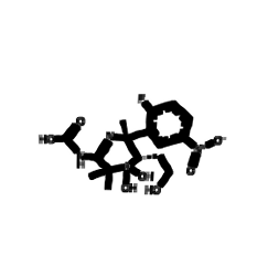 CC1(C)C(NC(=O)O)=N[C@](C)(c2cc([N+](=O)[O-])ccc2F)[C@H](CCO)S1(O)O